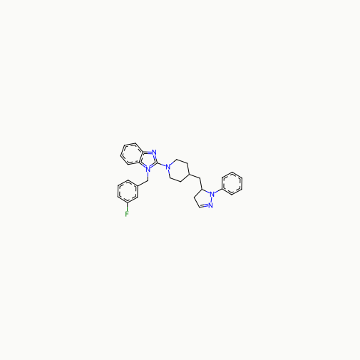 Fc1cccc(Cn2c(N3CCC(CC4CC=NN4c4ccccc4)CC3)nc3ccccc32)c1